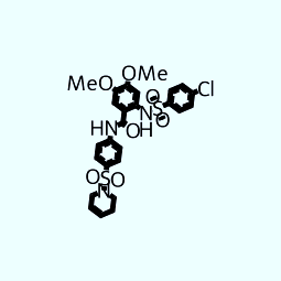 COc1cc(NS(=O)(=O)c2ccc(Cl)cc2)c(C(=O)Nc2ccc(S(=O)(=O)N3CC=CCC3)cc2)cc1OC